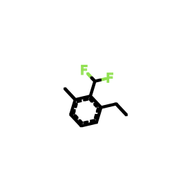 CCc1cccc(C)c1C(F)F